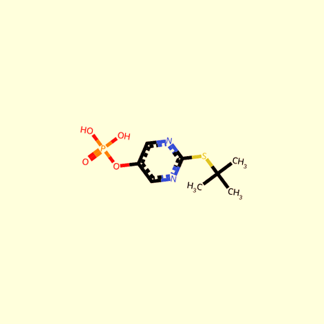 CC(C)(C)Sc1ncc(OP(=O)(O)O)cn1